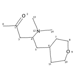 CC(=O)CC(CC1CCOCC1)N(C)C